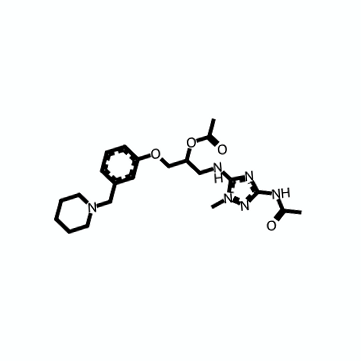 CC(=O)Nc1nc(NCC(COc2cccc(CN3CCCCC3)c2)OC(C)=O)n(C)n1